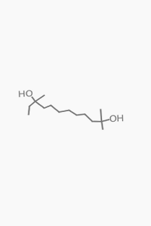 CCC(C)(O)CCCCCCCC(C)(C)O